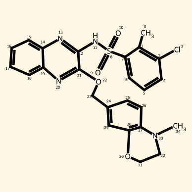 Cc1c(Cl)cccc1S(=O)(=O)Nc1nc2ccccc2nc1OCc1ccc2c(c1)OCCN2C